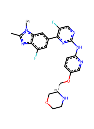 Cc1nc2c(F)cc(-c3nc(Nc4ccc(OC[C@H]5COCCN5)cn4)ncc3F)cc2n1C(C)C